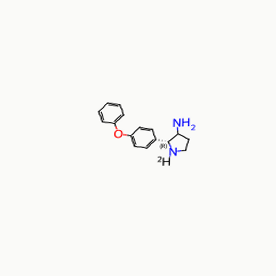 [2H]N1CCC(N)[C@H]1c1ccc(Oc2ccccc2)cc1